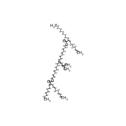 CCCCCCCCCCC(CCCCCCCC)C(=O)OCCCCCCCCCN(CCCCCCCCCOC(=O)C(CCCCCCCC)CCCCCCCCC)CCN(C)C